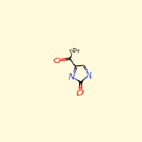 CCCC(=O)C1=NC(=O)N=C1